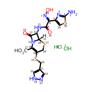 Cl.Cl.Nc1nc(C(=NO)C(=O)N[C@@H]2C(=O)N3C(C(=O)O)=C(SCc4cn[nH]c4)CS[C@@H]23)cs1